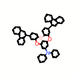 c1ccc(N(c2ccccc2)c2cc3c4c(c2)Oc2cc(-c5cc6ccccc6c6ccccc56)ccc2B4c2ccc(-c4cc5ccccc5c5ccccc45)cc2O3)cc1